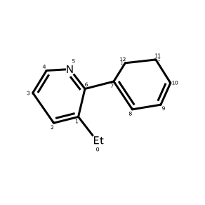 CCc1cccnc1C1=CC=C[C][C]1